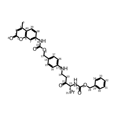 Cc1cc(=O)oc2cc(NC(=O)OCc3ccc(NCCC(=O)[C@@H](NC(=O)OCc4ccccc4)C(C)C)cc3)ccc12